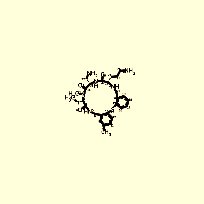 CC[C@H]1C(=O)NCc2cc(C)ccc2Sc2ccccc2CN[C@@H](CCCN)C(=O)N[C@@H](CN)C(=O)N1C